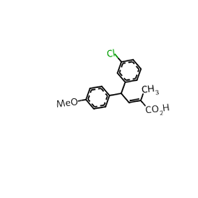 COc1ccc(C(C=C(C)C(=O)O)c2cccc(Cl)c2)cc1